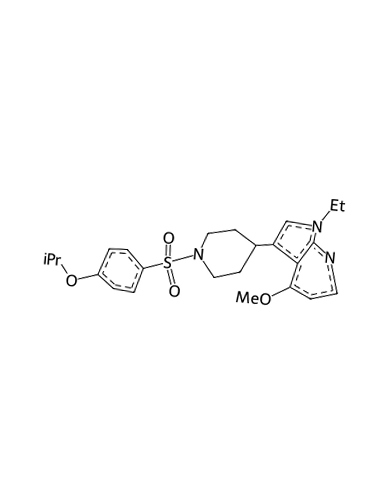 CCn1cc(C2CCN(S(=O)(=O)c3ccc(OC(C)C)cc3)CC2)c2c(OC)ccnc21